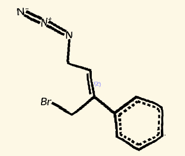 [N-]=[N+]=NC/C=C(\CBr)c1cc[c]cc1